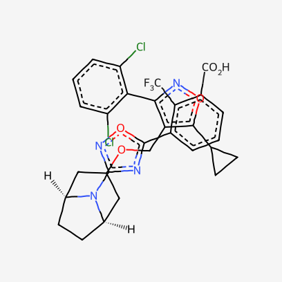 O=C(O)c1cccc(-c2nc(N3[C@@H]4CC[C@H]3CC(OCc3c(-c5c(Cl)cccc5Cl)noc3C3CC3)C4)no2)c1C(F)(F)F